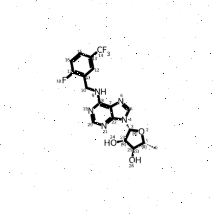 C[C@H]1O[C@@H](n2cnc3c(NCc4cc(C(F)(F)F)ccc4F)ncnc32)[C@H](O)[C@@H]1O